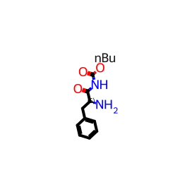 CCCCOC(=O)NC(=O)[C@@H](N)Cc1ccccc1